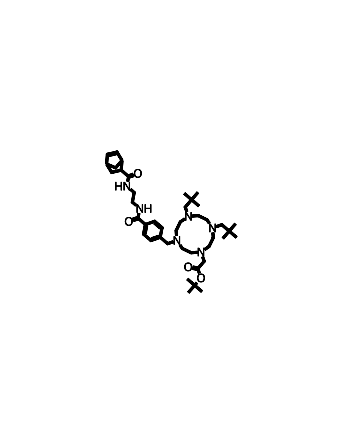 CC(C)(C)CN1CCN(CC(=O)OC(C)(C)C)CCN(Cc2ccc(C(=O)NCCNC(=O)C3CC4C=CC3C4)cc2)CCN(CC(C)(C)C)CC1